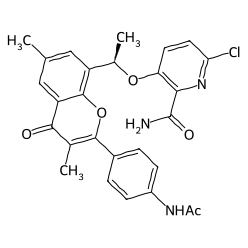 CC(=O)Nc1ccc(-c2oc3c([C@@H](C)Oc4ccc(Cl)nc4C(N)=O)cc(C)cc3c(=O)c2C)cc1